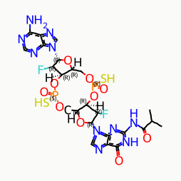 CC(C)C(=O)Nc1nc2c(ncn2[C@@H]2O[C@@H]3CO[P@](=O)(S)O[C@H]4[C@@H](F)[C@H](n5cnc6c(N)ncnc65)O[C@@H]4CO[P@@](=O)(S)O[C@H]3[C@H]2F)c(=O)[nH]1